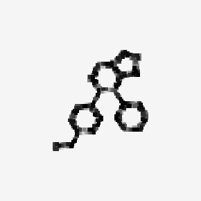 O=Cc1ccc(-c2ncn3cnnc3c2-c2ccccc2)cc1